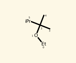 [CH2]COC(C)(C)C(C)C